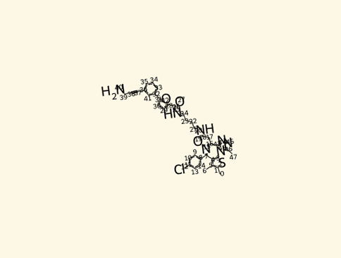 Cc1sc2c(c1C)C(c1ccc(Cl)cc1)=N[C@@H](CC(=O)NCCCCNC(=O)c1ccc(-c3cccc(C#CCN)c3)o1)c1nnc(C)n1-2